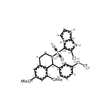 COc1cc2c(c(OC)c1)C(c1cccc(OC(F)(F)F)c1)N(S(=O)(=O)c1c(Cl)nc3sccn13)CC2